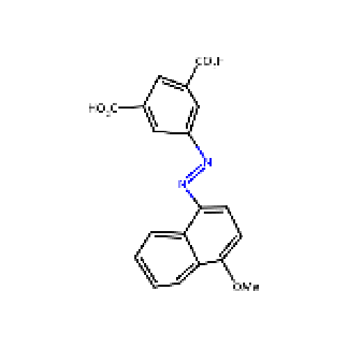 COc1ccc(N=Nc2cc(C(=O)O)cc(C(=O)O)c2)c2ccccc12